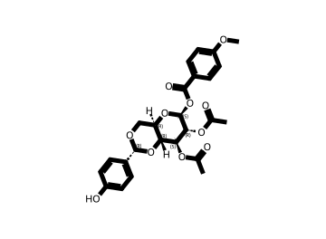 COc1ccc(C(=O)O[C@@H]2O[C@@H]3CO[C@@H](c4ccc(O)cc4)O[C@H]3[C@H](OC(C)=O)[C@H]2OC(C)=O)cc1